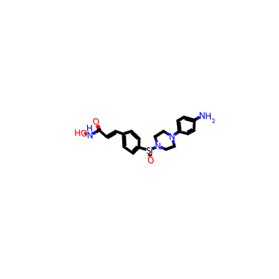 Nc1ccc(N2CCN([Si](=O)c3ccc(/C=C/C(=O)NO)cc3)CC2)cc1